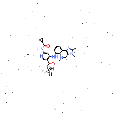 [2H]C([2H])([2H])CC(=O)c1cnc(NC(=O)C2CC2)cc1Nc1cccc2c1N(C)Cc1c-2nc(C)n1C